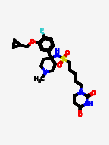 CN1CCC(NS(=O)(=O)CCCCCN2CCC(=O)NC2=O)(c2ccc(F)c(OCC3CC3)c2)CC1